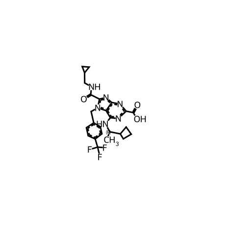 C[C@@H](Nc1nc(C(=O)O)nc2nc(C(=O)NCC3CC3)n(Cc3ccc(C(F)(F)F)cc3)c12)C1CCC1